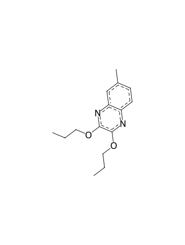 CCCOc1nc2ccc(C)cc2nc1OCCC